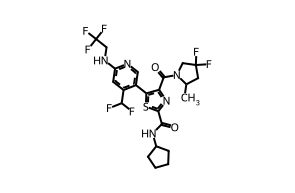 CC1CC(F)(F)CN1C(=O)c1nc(C(=O)NC2CCCC2)sc1-c1cnc(NCC(F)(F)F)cc1C(F)F